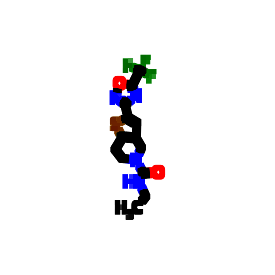 CCNC(=O)N1CCc2sc(-c3noc(C(F)(F)F)n3)cc2C1